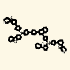 c1ccc2c(-c3ccc(N(c4ccc(-c5cccc6c5sc5cnccc56)cc4)c4cccc5c4oc4ccccc45)cc3)cc(-c3ccc(-c4ccc(N(c5ccc(-c6ccc7sc8ccncc8c7c6)cc5)c5ccc6oc7ccccc7c6c5)cc4)cc3)cc2c1